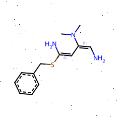 CN(C)C(/C=C(\N)SCc1ccccc1)=C/N